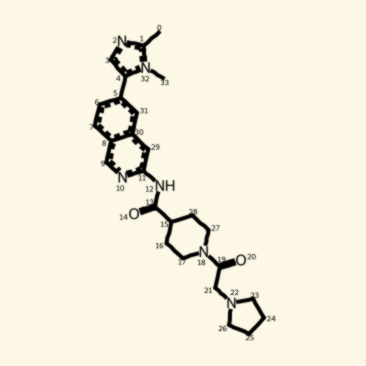 Cc1ncc(-c2ccc3cnc(NC(=O)C4CCN(C(=O)CN5CCCC5)CC4)cc3c2)n1C